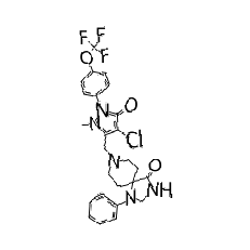 Cn1c(CN2CCC3(CC2)C(=O)NCN3c2ccccc2)c(Cl)c(=O)n1-c1ccc(OC(F)(F)F)cc1